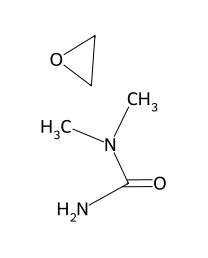 C1CO1.CN(C)C(N)=O